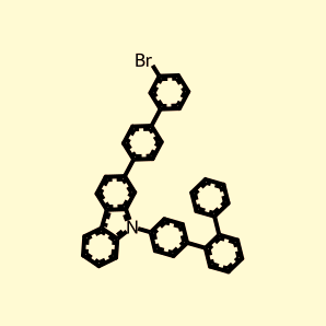 Brc1cccc(-c2ccc(-c3ccc4c5ccccc5n(-c5ccc(-c6ccccc6-c6ccccc6)cc5)c4c3)cc2)c1